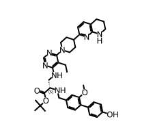 CCc1c(NC[C@H](NCc2ccc(-c3ccc(O)cc3)c(OC)c2)C(=O)OC(C)(C)C)ncnc1N1CCC(c2ccc3c(n2)NCCC3)CC1